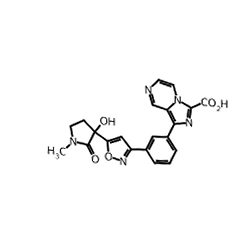 CN1CCC(O)(c2cc(-c3cccc(-c4nc(C(=O)O)n5ccncc45)c3)no2)C1=O